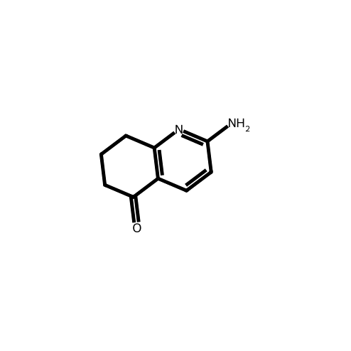 Nc1ccc2c(n1)CCCC2=O